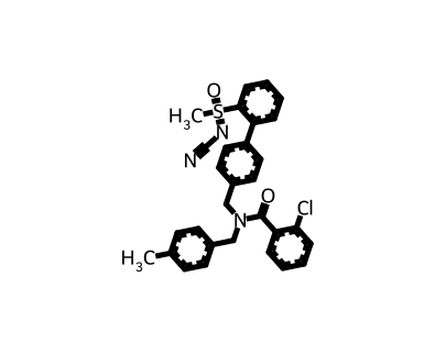 Cc1ccc(CN(Cc2ccc(-c3ccccc3S(C)(=O)=NC#N)cc2)C(=O)c2ccccc2Cl)cc1